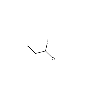 [O]C(I)CI